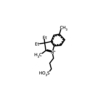 CCC1(CC)C(C)=[N+](CCCS(=O)(=O)O)c2ccc(C)cc21